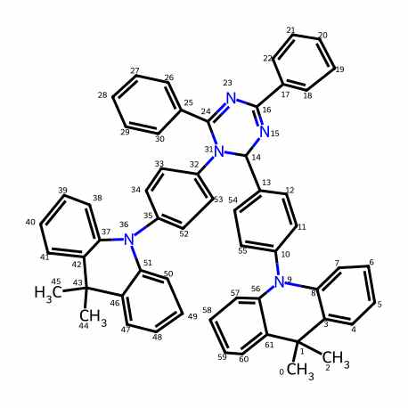 CC1(C)c2ccccc2N(c2ccc(C3N=C(c4ccccc4)N=C(c4ccccc4)N3c3ccc(N4c5ccccc5C(C)(C)c5ccccc54)cc3)cc2)c2ccccc21